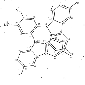 Cc1ccc2c(c1)c1cc(C)ccc1n2-c1cc(C#N)c(C#N)cc1-n1c2ccc(C)cc2c2cc(C)ccc21